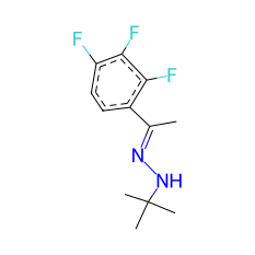 C/C(=N\NC(C)(C)C)c1ccc(F)c(F)c1F